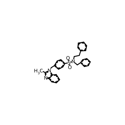 Cc1nc2ccccc2n1Cc1ccc(S(=O)(=O)N(CCc2ccccc2)Cc2ccccc2)cc1